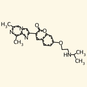 Cc1cn2cc(-c3cc4ccc(OCCNC(C)C)cc4oc3=O)nc2c(C)n1